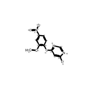 COc1cc([N+](=O)[O-])ccc1Oc1cc(Cl)ncn1